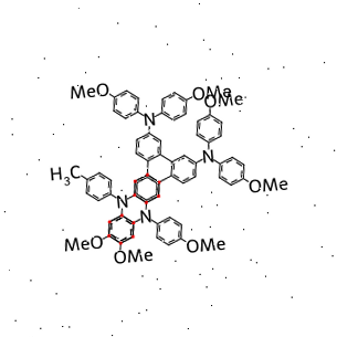 COc1ccc(N(c2ccc(C)cc2)c2ccc(-c3ccc(N(c4ccc(OC)cc4)c4ccc(OC)cc4)cc3-c3cc(N(c4ccc(OC)cc4)c4ccc(OC)cc4)ccc3-c3ccc(N(c4ccc(OC)cc4)c4ccc(OC)cc4)cc3)cc2)cc1